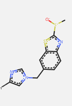 CC(=O)Nc1cn(Cc2ccc3nc([S+](C)[O-])sc3c2)cn1